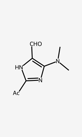 CC(=O)c1nc(N(C)C)c(C=O)[nH]1